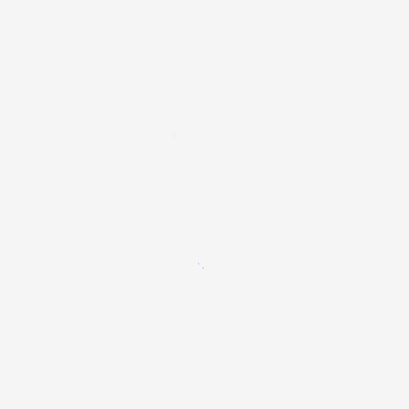 O=CC=CCC1=NCCS1